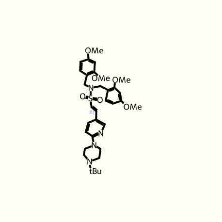 COc1ccc(CN(Cc2ccc(OC)cc2OC)S(=O)(=O)/C=C/c2ccc(N3CCN(C(C)(C)C)CC3)nc2)c(OC)c1